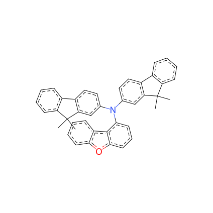 CC1(C)c2ccccc2-c2ccc(N(c3ccc4c(c3)C(C)(C)c3ccccc3-4)c3cccc4oc5ccccc5c34)cc21